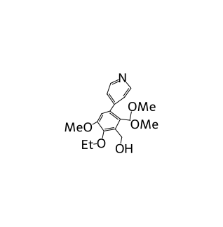 CCOc1c(OC)cc(-c2ccncc2)c(C(OC)OC)c1CO